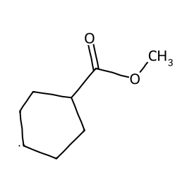 COC(=O)C1CC[CH]CC1